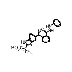 CN(C(=O)O)c1nc2cc(C(=O)c3ccccc3C(=O)NNc3ccccc3)ccc2[nH]1